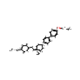 CCCCCCCOc1ccc(-c2ccc([C@H]3CC[C@](C#N)(CCC4CCC(CCCCC)CC4)CC3)cc2)cc1